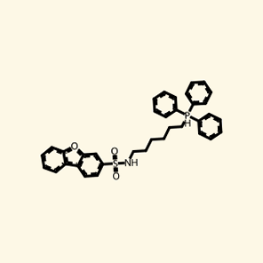 O=S(=O)(NCCCCCC[PH](c1ccccc1)(c1ccccc1)c1ccccc1)c1ccc2c(c1)oc1ccccc12